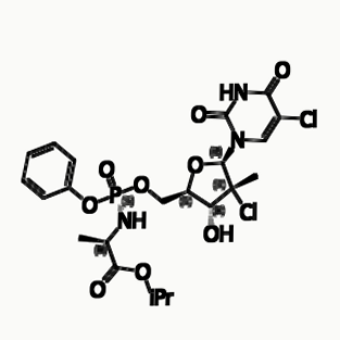 CC(C)OC(=O)[C@@H](C)N[P@](=O)(OC[C@H]1O[C@@H](n2cc(Cl)c(=O)[nH]c2=O)[C@](C)(Cl)[C@@H]1O)Oc1ccccc1